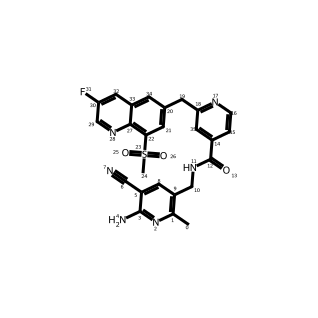 Cc1nc(N)c(C#N)cc1CNC(=O)c1ccnc(Cc2cc(S(C)(=O)=O)c3ncc(F)cc3c2)c1